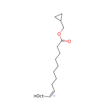 CCCCCCCC/C=C\CCCCCCCC(=O)OCC1CC1